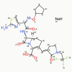 Nc1nc(/C(=N/OC2CCCC2)C(=O)N[C@@H]2C(=O)N3C(C(=O)O)=C(/C=C4\CCN(CC(F)(F)F)C4=O)CC[C@H]23)cs1.[NaH]